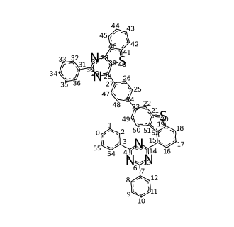 c1ccc(-c2nc(-c3ccccc3)nc(-c3cccc4sc5cc(-c6ccc(-c7nc(-c8ccccc8)nc8c7sc7ccccc78)cc6)ccc5c34)n2)cc1